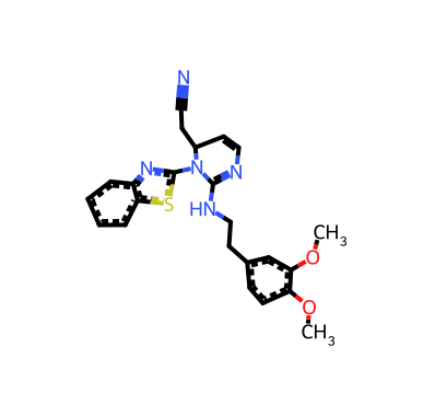 COc1ccc(CCNC2=NC=CC(CC#N)N2c2nc3ccccc3s2)cc1OC